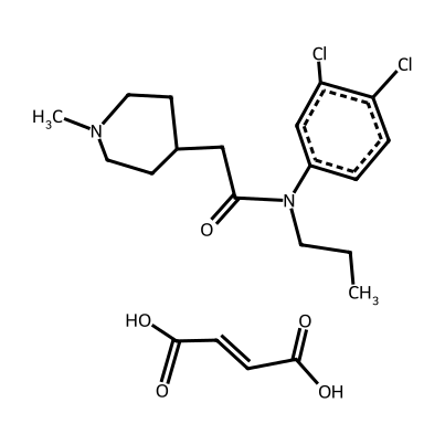 CCCN(C(=O)CC1CCN(C)CC1)c1ccc(Cl)c(Cl)c1.O=C(O)/C=C/C(=O)O